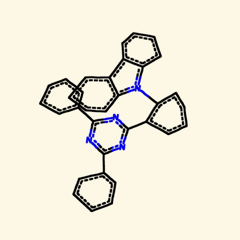 c1ccc(-c2nc(-c3ccccc3)nc(-c3ccccc3-n3c4ccccc4c4ccccc43)n2)cc1